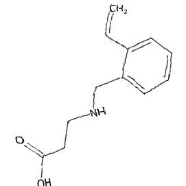 C=Cc1ccccc1CNCCC(=O)O